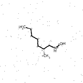 CCCCC[C@@H](C)CNO